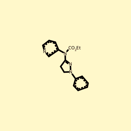 CCOC(=O)N(C1=NN(c2ccccc2)CC1)c1cccnc1